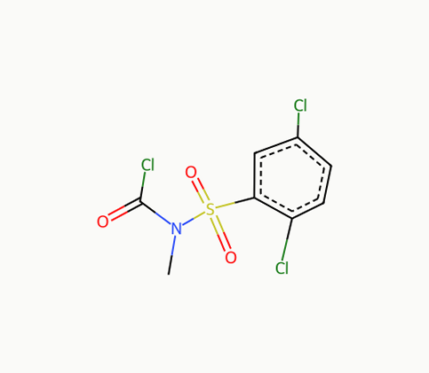 CN(C(=O)Cl)S(=O)(=O)c1cc(Cl)ccc1Cl